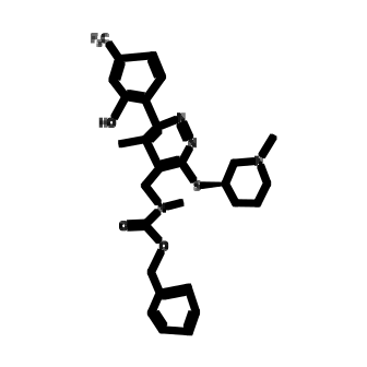 Cc1c(-c2ccc(C(F)(F)F)cc2O)nnc(S[C@@H]2CCCN(C)C2)c1CN(C)C(=O)OCc1ccccc1